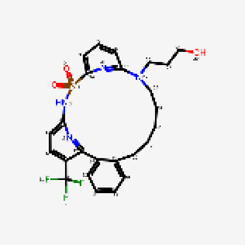 O=S1(=O)Nc2ccc(C(F)(F)F)c(n2)-c2ccccc2CCCCCN(CCCO)c2cccc1n2